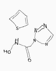 O=C(NO)n1ncnn1.c1ccsc1